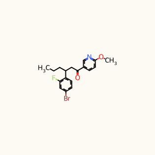 CCCC(CC(=O)c1ccc(OC)nc1)c1ccc(Br)cc1F